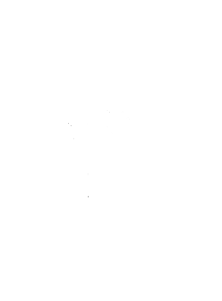 O=C(CO)c1ccn2ncc(-c3ccc(C(F)(F)F)cn3)c2c1